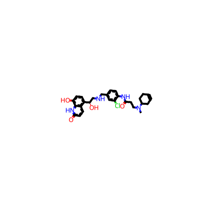 CN(CCC(=O)Nc1ccc(CNC[C@H](O)c2ccc(O)c3[nH]c(=O)ccc23)cc1Cl)C1CC#CCC1